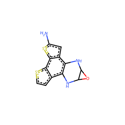 Nc1cc2c3c(c4ccsc4c2s1)NC1OC1N3